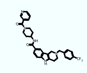 O=C(NC1CCN(C(=O)c2cccnc2)CC1)c1ccc2[nH]c3c(c2c1)CN(Cc1ccc(C(F)(F)F)cc1)CC3